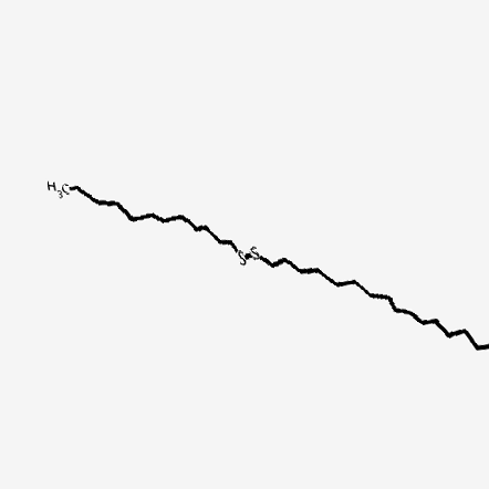 CCCCCCCCCCCCCCCCSSCCCCCCCCCCCC